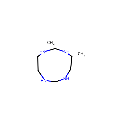 C.C.C1CNCNCCNCN1